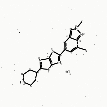 Cc1cc(-c2nc3sc(C4CCNCC4)nc3s2)cc2cn(C)nc12.Cl